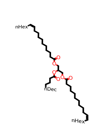 CCCCCC/C=C\CCCCCCCCCC(=O)OCC(COC(=O)CCCCCCCCC/C=C\CCCCCC)OC(=O)CCCCCCCCCCCCC